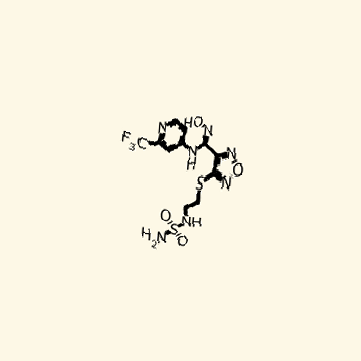 NS(=O)(=O)NCCSc1nonc1/C(=N/O)Nc1ccnc(C(F)(F)F)c1